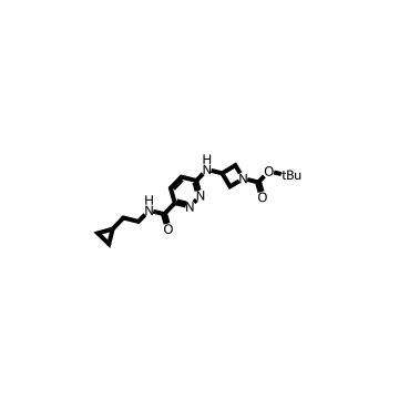 CC(C)(C)OC(=O)N1CC(Nc2ccc(C(=O)NCCC3CC3)nn2)C1